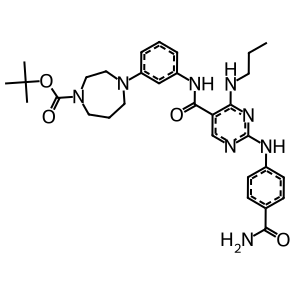 CCCNc1nc(Nc2ccc(C(N)=O)cc2)ncc1C(=O)Nc1cccc(N2CCCN(C(=O)OC(C)(C)C)CC2)c1